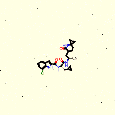 N#C[C@H](CC1CCC2(CC2)NC1=O)NC(=O)[C@H](CC1CC1)NC(=O)c1cc2cccc(Cl)c2[nH]1